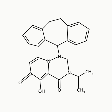 CC(C)N1CN(C2c3ccccc3CCc3ccccc32)n2ccc(=O)c(O)c2C1=O